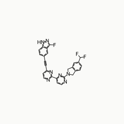 Fc1n[nH]c2ccc(C#Cc3ccnc(-c4ccnc(N5Cc6ccc(C(F)F)cc6C5)n4)n3)cc12